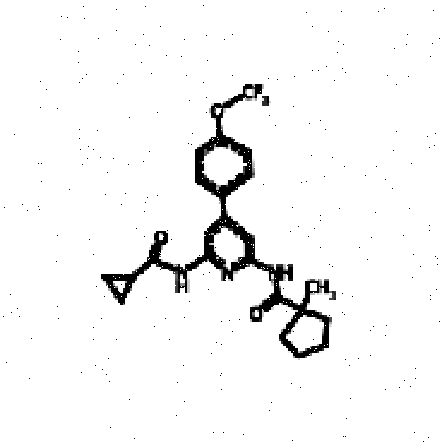 CC1(C(=O)Nc2cc(-c3ccc(OC(F)(F)F)cc3)cc(NC(=O)C3CC3)n2)CCCC1